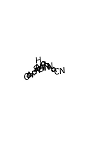 N#Cc1ccc(-c2c[nH]c(Cc3cccc(C(=O)Nc4nc5c(s4)CC(N4CCOCC4)CC5)c3)n2)cc1